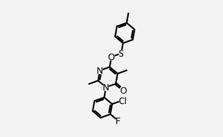 Cc1ccc(SOc2nc(C)n(-c3cccc(F)c3Cl)c(=O)c2C)cc1